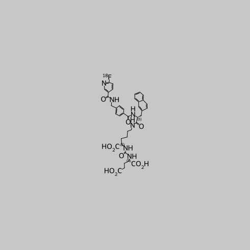 O=C(O)CC[C@H](NC(=O)N[C@@H](CCCCNC(=O)[C@H](Cc1ccc2ccccc2c1)NC(=O)c1ccc(CNC(=O)c2ccc([18F])nc2)cc1)C(=O)O)C(=O)O